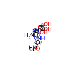 CCNC(=O)c1ccc(Nc2nc(N)c3ncn([C@@H]4O[C@H](CO)[C@@H](O)[C@H]4O)c3n2)cc1